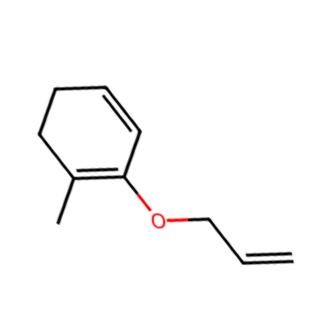 C=CCOC1=C(C)CCC=C1